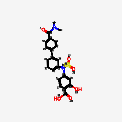 CN(C)C(=O)c1ccc(-c2cccc(N(c3ccc(C(=O)O)c(O)c3)[SH](=O)=O)c2)cc1